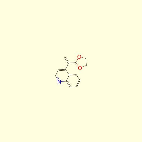 C=C(c1ccnc2ccccc12)C1OCCO1